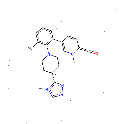 CN1C=C(c2cccc(C#N)c2N2CCC(c3nncn3C)CC2)C=CC1=C=O